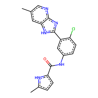 Cc1cnc2nc(-c3cc(NC(=O)c4ccc(C)[nH]4)ccc3Cl)[nH]c2c1